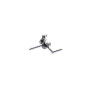 CCCCCCCC/C=C\CCCCCCCC(=O)N[C@@H](COP(=O)([O-])OCC[N+](C)(C)C)[C@H](O)/C=C/CCCCCCCCCCC